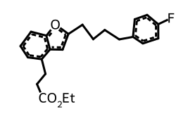 CCOC(=O)CCc1cccc2oc(CCCCc3ccc(F)cc3)cc12